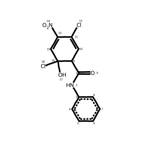 O=C(Nc1ccccc1)C1C=C(Cl)C([N+](=O)[O-])=CC1(O)Cl